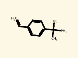 C=Cc1ccc(C(C)(P)CC)cc1